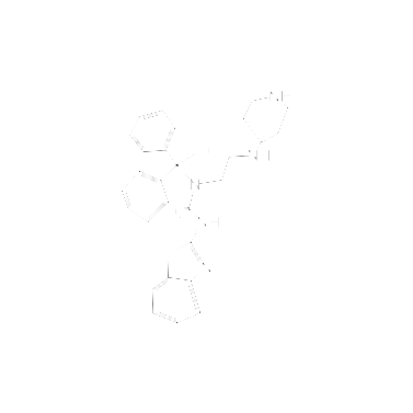 CCC(c1ccccc1)(c1ccccc1)N(CCNC1CCNCC1)C(=O)Nc1nc2ccccc2s1